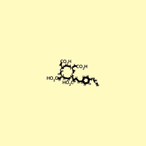 O=C(O)CN1CCN(CC(=O)O)CCN(C(CCc2ccc(N=C=S)cc2)C(=O)O)CCN(CC(=O)O)CC1